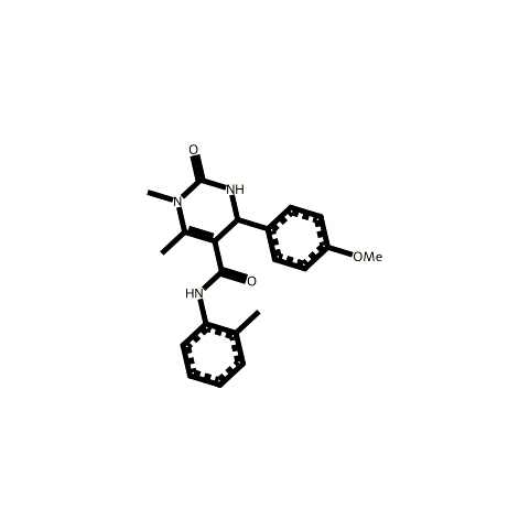 COc1ccc(C2NC(=O)N(C)C(C)=C2C(=O)Nc2ccccc2C)cc1